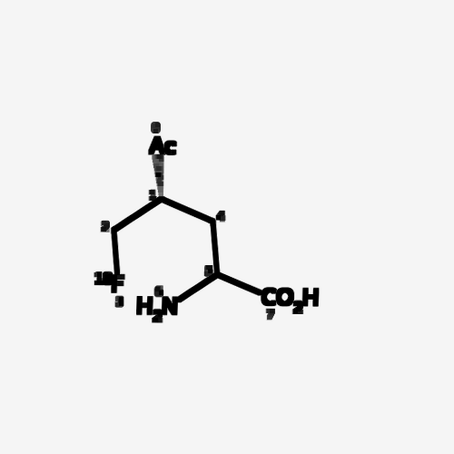 CC(=O)[C@@H](C[18F])CC(N)C(=O)O